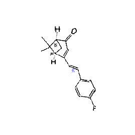 CC1(C)[C@@H]2C[C@H]1C(/C=C/c1ccc(F)cc1)=CC2=O